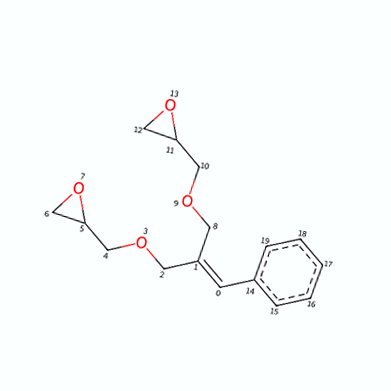 C(=C(COCC1CO1)COCC1CO1)c1ccccc1